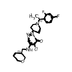 C[C@@H](c1ccc(F)cc1F)N1CCC(n2ncc(NC[C@@H]3CCCOC3)c(Cl)c2=O)CC1